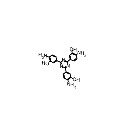 Nc1ccc(-c2nc(-c3ccc(N)c(O)c3)nc(-c3ccc(N)c(O)c3)n2)cc1O